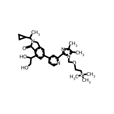 Cc1nc(-c2cc(-c3cc4c(c(C(O)CO)c3)C(=O)N(C(C)C3CC3)C4)ccn2)n(COCC[Si](C)(C)C)c1C